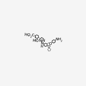 Nc1ccc(OCc2cc(Nc3nccc(-c4ccc(C(=O)O)cc4O)n3)ccc2OC2CCCC2)cc1